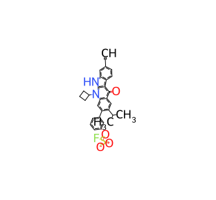 C#Cc1ccc2c(c1)[nH]c1c2c(=O)c2cc(C(C)C)c(-c3cccc(OS(=O)(=O)F)c3)cc2n1C1CCC1